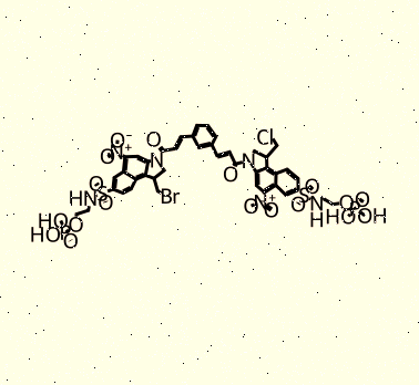 O=C(/C=C/c1cccc(/C=C/C(=O)N2CC(CBr)c3c2cc([N+](=O)[O-])c2cc(S(=O)(=O)NCCOP(=O)(O)O)ccc32)c1)N1CC(CCl)c2c1cc([N+](=O)[O-])c1cc(S(=O)(=O)NCCOP(=O)(O)O)ccc21